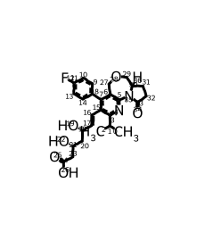 CC(C)c1nc2c(c(-c3ccc(F)cc3)c1/C=C/[C@@H](O)C[C@@H](O)CC(=O)O)COC[C@@H]1CCC(=O)N21